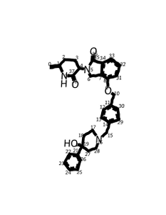 C=C1CCC(N2Cc3c(OCc4ccc(CN5CCC(O)(c6ccccc6)CC5)cc4)cccc3C2=O)C(=O)N1